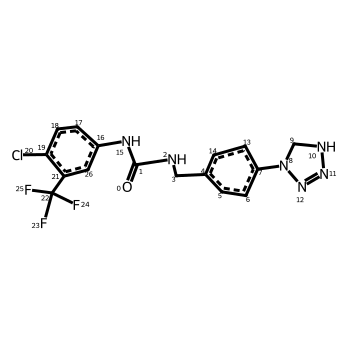 O=C(NCc1ccc(N2CNN=N2)cc1)Nc1ccc(Cl)c(C(F)(F)F)c1